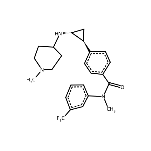 CN1CCC(N[C@@H]2C[C@H]2c2ccc(C(=O)N(C)c3cccc(C(F)(F)F)c3)cc2)CC1